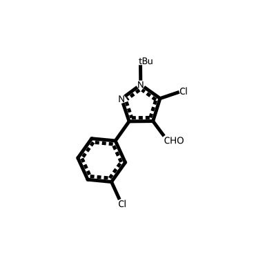 CC(C)(C)n1nc(-c2cccc(Cl)c2)c(C=O)c1Cl